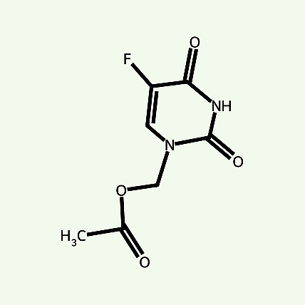 CC(=O)OCn1cc(F)c(=O)[nH]c1=O